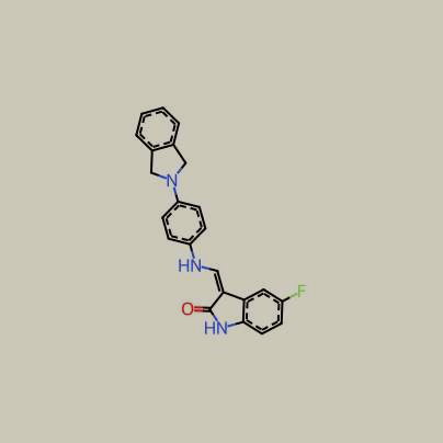 O=C1Nc2ccc(F)cc2C1=CNc1ccc(N2Cc3ccccc3C2)cc1